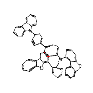 c1ccc(N(c2ccc(-c3ccc(-n4c5ccccc5c5ccccc54)cc3)cc2)c2cccc3oc4ccccc4c23)c(-c2cccc3c2oc2ccccc23)c1